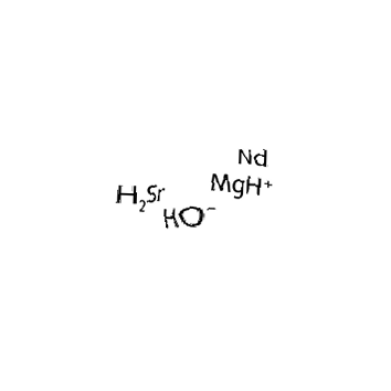 [MgH+].[Nd].[OH-].[SrH2]